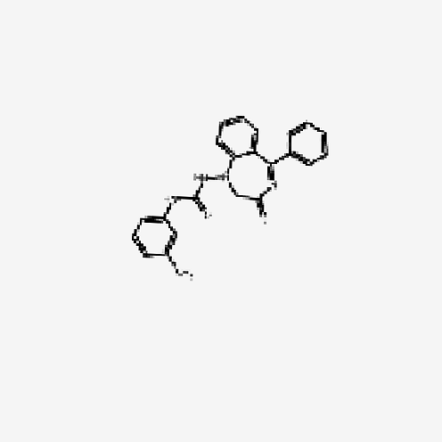 Cc1cccc(NC(=O)NN2CC(=S)N=C(c3ccccc3)c3ccccc32)c1